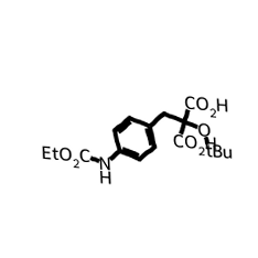 CCOC(=O)Nc1ccc(CC(OC(C)(C)C)(C(=O)O)C(=O)O)cc1